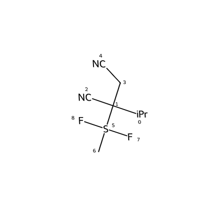 CC(C)C(C#N)(CC#N)S(C)(F)F